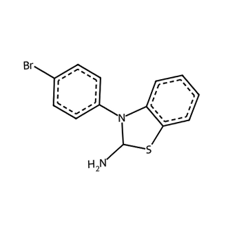 NC1Sc2ccccc2N1c1ccc(Br)cc1